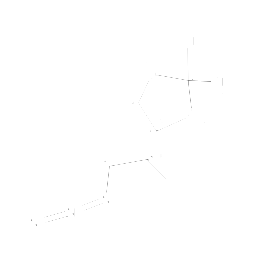 CC1(C)OC[C@@H](C(=O)CN=[N+]=[N-])O1